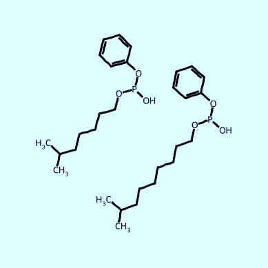 CC(C)CCCCCCCOP(O)Oc1ccccc1.CC(C)CCCCCOP(O)Oc1ccccc1